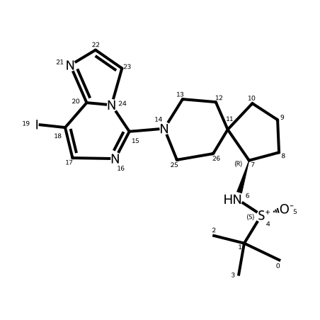 CC(C)(C)[S@@+]([O-])N[C@@H]1CCCC12CCN(c1ncc(I)c3nccn13)CC2